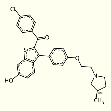 C[C@@H]1CCN(CCOc2ccc(-c3c(C(=O)c4ccc(Cl)cc4)sc4cc(O)ccc34)cc2)C1